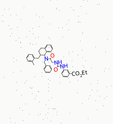 CCOC(=O)c1cccc(NC(=O)NCC(=O)N(Cc2ccccc2)C2c3ccccc3CCC2Cc2ccccc2C)c1